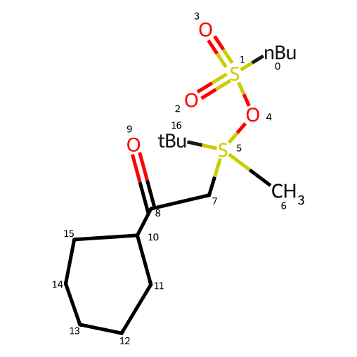 CCCCS(=O)(=O)OS(C)(CC(=O)C1CCCCC1)C(C)(C)C